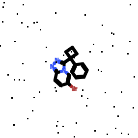 Brc1ccc2nnc(C3(c4ccccc4)CCC3)n2c1